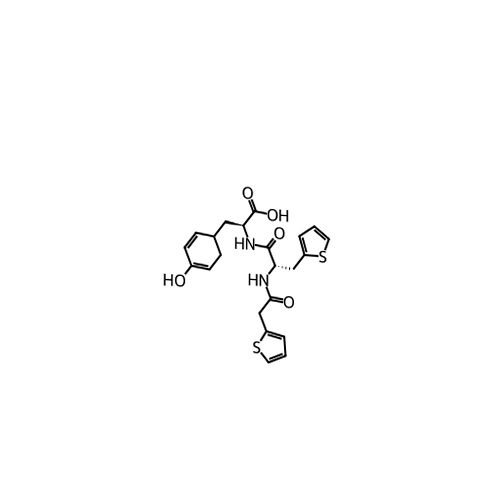 O=C(Cc1cccs1)N[C@@H](Cc1cccs1)C(=O)N[C@@H](CC1C=CC(O)=CC1)C(=O)O